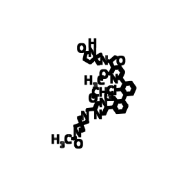 COc1nc(-c2cccc(-c3cccc(-c4cc5c(c(OC)n4)C(N4CC6(CCC(=O)N6)C4)CO5)c3Cl)c2Cl)cnc1CN1CC2(C1)CN(C(C)=O)C2